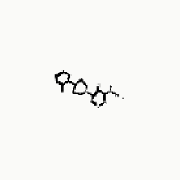 Cc1ccccc1C1CCN(c2cnnc(NN)c2Cl)CC1